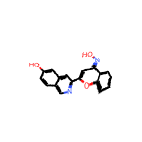 ON=c1cc(-c2cc3cc(O)ccc3cn2)oc2ccccc12